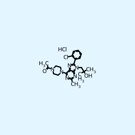 CC(=O)N1CCN(c2nc(C)nc3c2nc(-c2ccccc2Cl)n3CC(C)(C)O)CC1.Cl